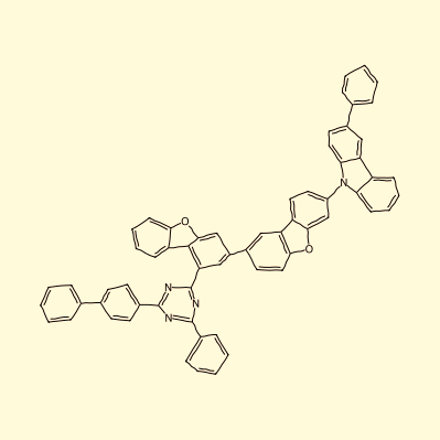 c1ccc(-c2ccc(-c3nc(-c4ccccc4)nc(-c4cc(-c5ccc6oc7cc(-n8c9ccccc9c9cc(-c%10ccccc%10)ccc98)ccc7c6c5)cc5oc6ccccc6c45)n3)cc2)cc1